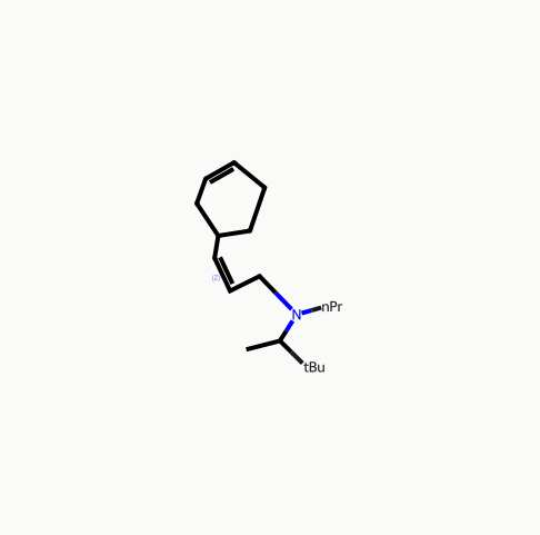 CCCN(C/C=C\C1CC=CCC1)C(C)C(C)(C)C